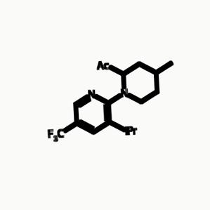 CC(=O)C1CC(C)CCN1c1ncc(C(F)(F)F)cc1C(C)C